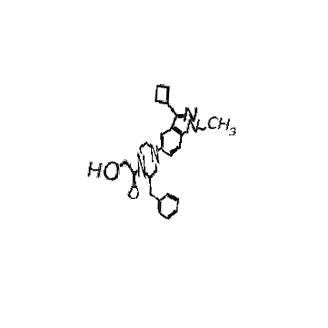 CCn1nc(C2CCC2)c2cc(N3CCN(C(=O)CO)C(Cc4ccccc4)C3)ccc21